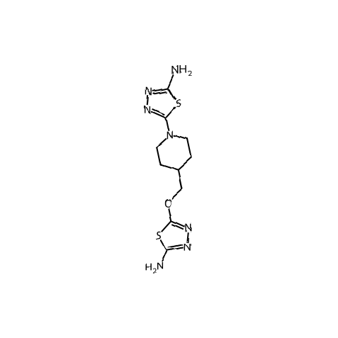 Nc1nnc(OCC2CCN(c3nnc(N)s3)CC2)s1